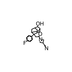 N#CC1CN(C(=O)CC2(c3ccc(F)cc3)C3CC4CC2CC(C3)C4O)C1